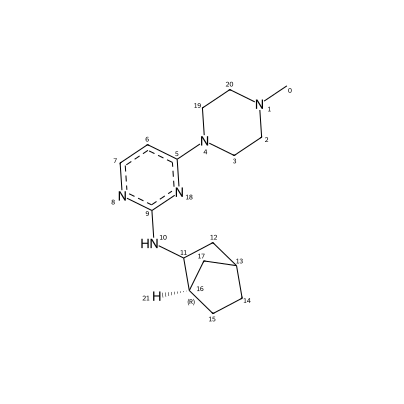 CN1CCN(c2ccnc(NC3CC4CC[C@@H]3C4)n2)CC1